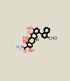 NC(=O)C1=C(O)CC2C[C@@H]3Cc4c(-c5ccc(C=O)c6ccccc56)ccc(O)c4C(=O)C3=C(O)[C@]2(O)C1=O